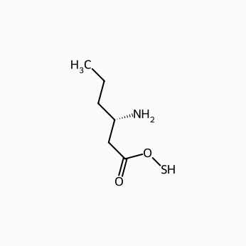 CCC[C@H](N)CC(=O)OS